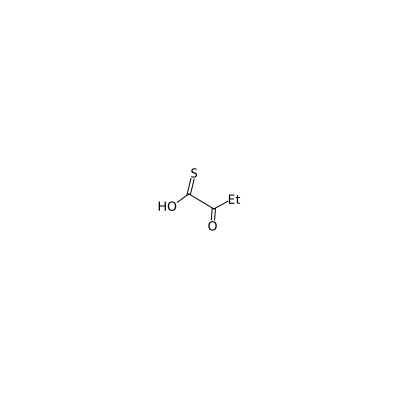 CCC(=O)C(O)=S